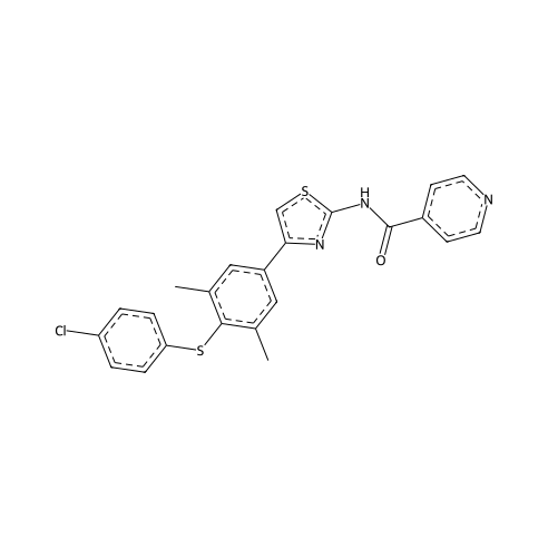 Cc1cc(-c2csc(NC(=O)c3ccncc3)n2)cc(C)c1Sc1ccc(Cl)cc1